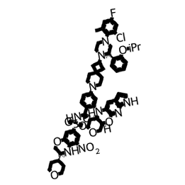 Cc1cc(F)cc(Cl)c1N1CCN(C2CC3(CCN(c4ccc(C(=O)NS(=O)(=O)c5cc6c(c([N+](=O)[O-])c5)N[C@H](C5CCOCC5)CO6)c(N5c6cc7cc[nH]c7nc6O[C@H]6COCC[C@@H]65)c4)CC3)C2)[C@H](c2ccccc2OC(C)C)C1